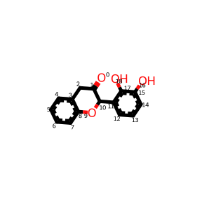 O=C1Cc2ccccc2OC1c1cccc(O)c1O